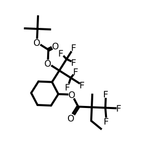 CCC(C)(C(=O)OC1CCCCC1C(OC(=O)OC(C)(C)C)(C(F)(F)F)C(F)(F)F)C(F)(F)F